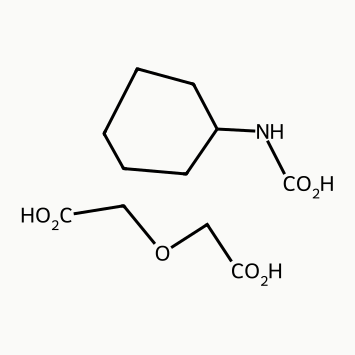 O=C(O)COCC(=O)O.O=C(O)NC1CCCCC1